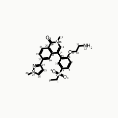 CCS(=O)(=O)c1ccc(OCCN)c(-c2cn(C)c(=O)c3ccc(-c4ccn(C)n4)cc23)c1